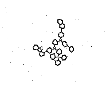 c1ccc(-c2ccc(N(c3ccc(-c4ccc5ccccc5c4)cc3)c3cccc(N(c4ccc(-c5cccc6c5oc5ccccc56)cc4)c4cccc(C5(c6ccccc6)c6ccccc6-c6ccccc65)c4)c3)cc2)cc1